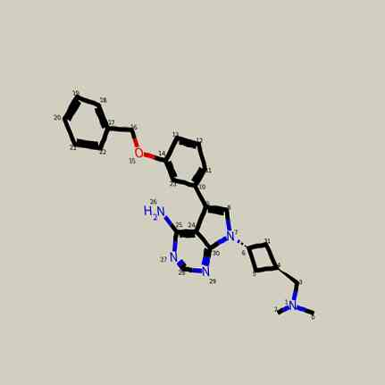 CN(C)C[C@H]1C[C@H](n2cc(-c3cccc(OCc4ccccc4)c3)c3c(N)ncnc32)C1